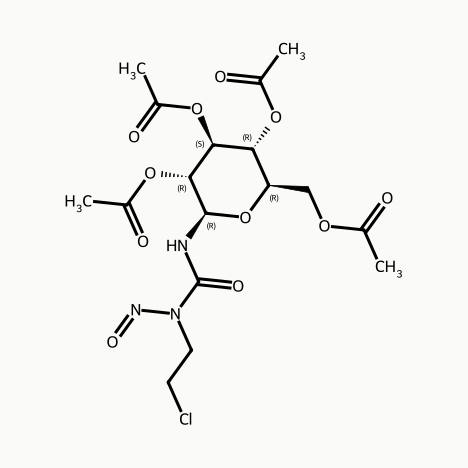 CC(=O)OC[C@H]1O[C@@H](NC(=O)N(CCCl)N=O)[C@H](OC(C)=O)[C@@H](OC(C)=O)[C@@H]1OC(C)=O